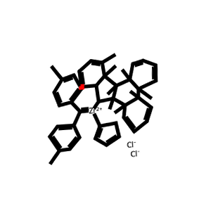 CC1=CC=CC2[CH]([Zr+2]([C]3=CC=CC3)=[C](c3ccc(C)cc3)c3ccc(C)cc3)C3(C)C4(C)C=CC=CC4(C)C4(C)C=CC=CC4(C)C3(C)C12C.[Cl-].[Cl-]